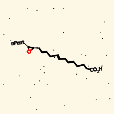 CCCCC[C@H]1O[C@H]1CC=CCC=CCC=CCCCC(=O)O